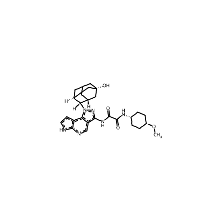 CO[C@H]1CC[C@H](NC(=O)C(=O)Nc2nn([C@H]3[C@@H]4CC5C[C@H]3C[C@@](O)(C5)C4)c3c2cnc2[nH]ccc23)CC1